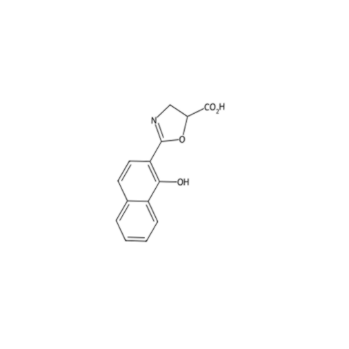 O=C(O)C1CN=C(c2ccc3ccccc3c2O)O1